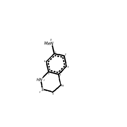 CNc1ccc2c(c1)NSCC2